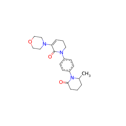 CC1CCCC(=O)N1c1ccc(N2CCC=C(N3CCOCC3)C2=O)cc1